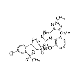 COc1cccc(OC)c1-n1c(NS(=O)(=O)CC(O)c2ccc(Cl)cc2S(C)(=O)=O)nnc1-c1ccn(C)n1